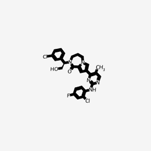 Cc1cnc(Nc2ccc(F)cc2Cl)nc1-c1cc2n(c1)CCCN([C@@H](CO)c1cccc(Cl)c1)C2=O